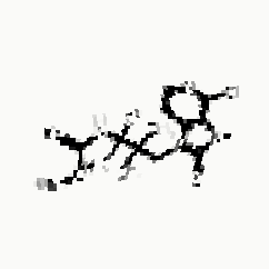 CC(C)(C)OC(=O)NC(C)(C)C(C)(C)Cn1c(=S)[nH]c2c(Cl)nccc21